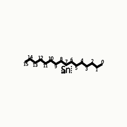 CCCCCCCCCCCCCCCC.[Sn]